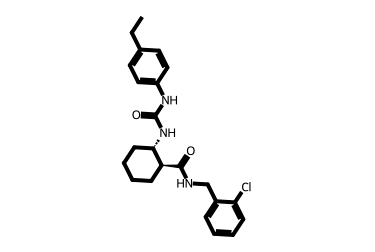 CCc1ccc(NC(=O)N[C@H]2CCCC[C@@H]2C(=O)NCc2ccccc2Cl)cc1